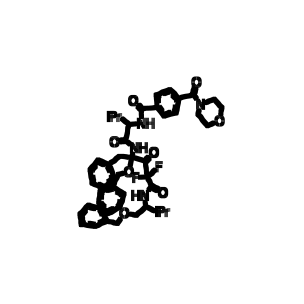 CC(C)C(COCc1ccccc1)NC(=O)C(F)(F)C(=O)C(Cc1ccccc1)(NC(=O)C(NC(=O)c1ccc(C(=O)N2CCOCC2)cc1)C(C)C)OCc1ccccc1